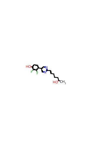 CC(O)CCCC=Cc1ncc(-c2ccc(O)c(F)c2F)cn1